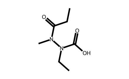 CCC(=O)N(C)N(CC)C(=O)O